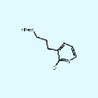 CCCCCCCCc1cccnc1[O]